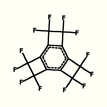 FC1(F)c2c3c(c4c(c2C1(F)F)C(F)(F)C4(F)F)C(F)(F)C3(F)F